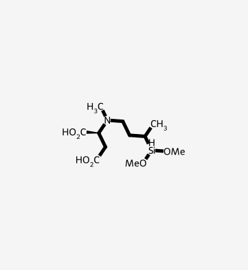 CO[SiH](OC)C(C)CCN(C)[C@@H](CC(=O)O)C(=O)O